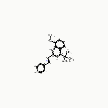 COc1cccc2c(C(C)(C)C)nc(/C=C/c3ccncc3)nc12